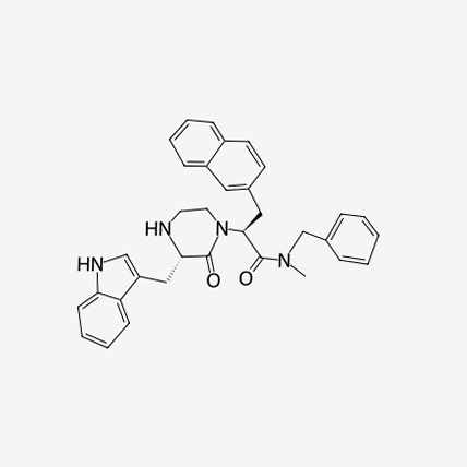 CN(Cc1ccccc1)C(=O)[C@H](Cc1ccc2ccccc2c1)N1CCN[C@@H](Cc2c[nH]c3ccccc23)C1=O